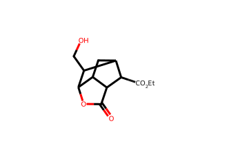 CCOC(=O)C1C2CC3C(OC(=O)C31)C2CO